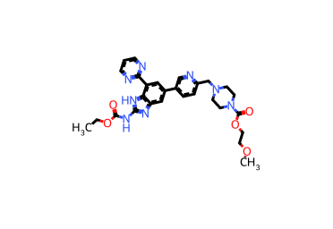 CCOC(=O)Nc1nc2cc(-c3ccc(CN4CCN(C(=O)OCCOC)CC4)nc3)cc(-c3ncccn3)c2[nH]1